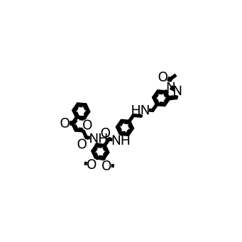 COc1cc(NC(=O)c2cc(=O)c3ccccc3o2)c(C(=O)Nc2ccc(CCNCc3ccc4c(cnn4C(C)=O)c3)cc2)cc1OC